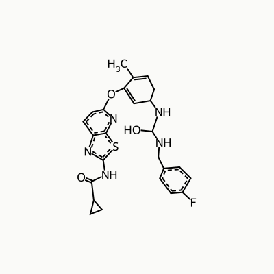 CC1=CCC(NC(O)NCc2ccc(F)cc2)C=C1Oc1ccc2nc(NC(=O)C3CC3)sc2n1